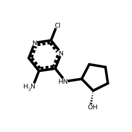 Nc1cnc(Cl)nc1NC1CCC[C@@H]1O